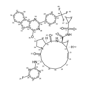 O=C1N[C@]2(C(=O)NS(=O)(=O)C3CC3)C[C@H]2/C=C\CCCCC[C@H](Nc2nccc(F)n2)C(=O)N2C[C@H](Oc3nc(-c4ccc(C(F)(F)F)cc4)nc4c3oc3ccccc34)C[C@@H]12